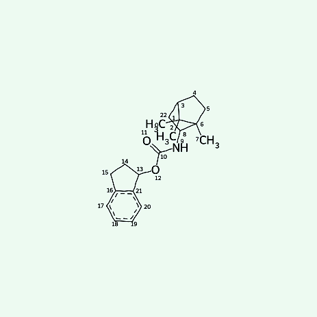 CC1(C)C2CCC1(C)C(NC(=O)OC1CCc3ccccc31)C2